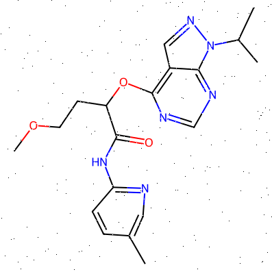 COCCC(Oc1ncnc2c1cnn2C(C)C)C(=O)Nc1ccc(C)cn1